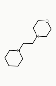 C1CCN(CCN2CCOCC2)CC1